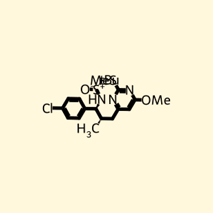 COc1cc(C[C@H](C)[C@H](N[S@@+]([O-])C(C)(C)C)c2ccc(Cl)cc2)nc(SC)n1